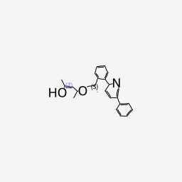 C/C(O)=C/C(C)OC[C@@H](C)c1ccccc1C1C=CC(c2ccccc2)=CN1C